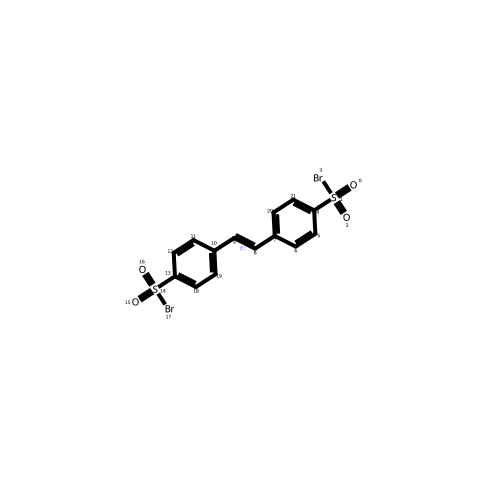 O=S(=O)(Br)c1ccc(/C=C/c2ccc(S(=O)(=O)Br)cc2)cc1